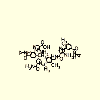 CCN1CCCC1C(N)=O.Cc1ccc(C(=O)NC2CC2)cc1-n1ncc(C(=O)O)c1N.Cc1ccccc1CNC(=O)c1cnn(-c2cc(C(=O)NC3CC3)ccc2C)c1N